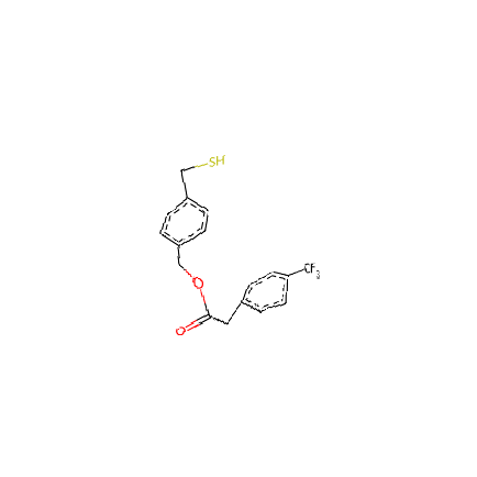 O=C(Cc1ccc(C(F)(F)F)cc1)OCc1ccc(CS)cc1